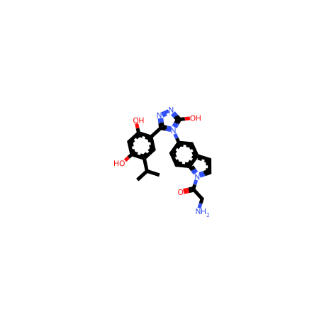 CC(C)c1cc(-c2nnc(O)n2-c2ccc3c(ccn3C(=O)CN)c2)c(O)cc1O